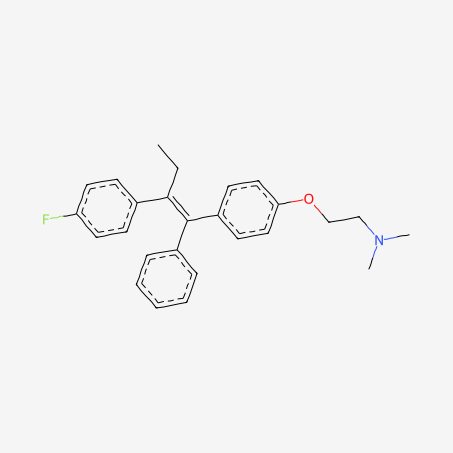 CCC(=C(c1ccccc1)c1ccc(OCCN(C)C)cc1)c1ccc(F)cc1